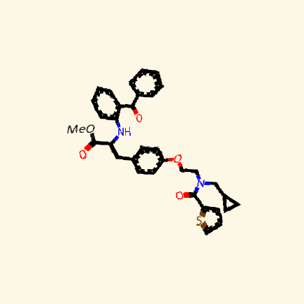 COC(=O)C(Cc1ccc(OCCN(CC2CC2)C(=O)c2cccs2)cc1)Nc1ccccc1C(=O)c1ccccc1